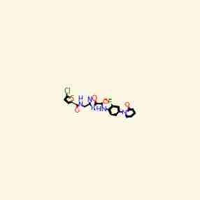 O=C(Nc1ccc(-n2ccccc2=O)cc1F)c1nc(CNC(=O)c2ccc(Cl)s2)no1